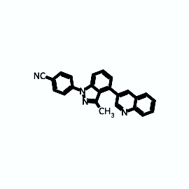 Cc1nn(-c2ccc(C#N)cc2)c2cccc(-c3cnc4ccccc4c3)c12